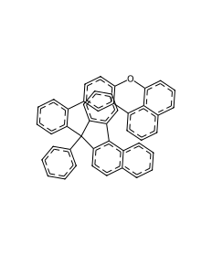 c1ccc(C2(c3ccccc3-c3ccc4c(c3)-c3cccc5cccc(c35)O4)c3ccccc3-c3c2ccc2ccccc32)cc1